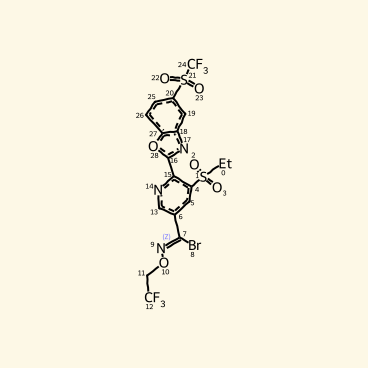 CCS(=O)(=O)c1cc(/C(Br)=N/OCC(F)(F)F)cnc1-c1nc2cc(S(=O)(=O)C(F)(F)F)ccc2o1